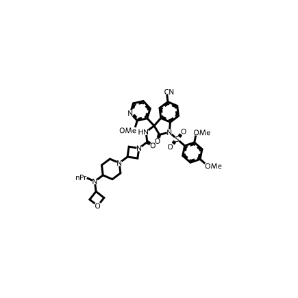 CCCN(C1CCN(C2CN(C(=O)NC3(c4cccnc4OC)C(=O)N(S(=O)(=O)c4ccc(OC)cc4OC)c4ccc(C#N)cc43)C2)CC1)C1COC1